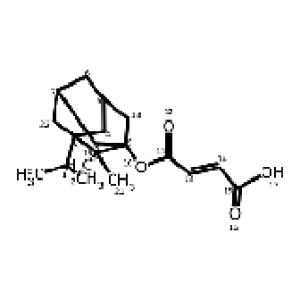 CC(C)C12CC3CC(CC(OC(=O)/C=C/C(=O)O)(C3)C1(C)C)C2